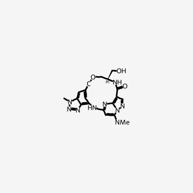 CNc1cc2nc3c(cnn13)C(=O)N[C@H](CO)COCc1cc(c3nnn(C)c3c1)N2